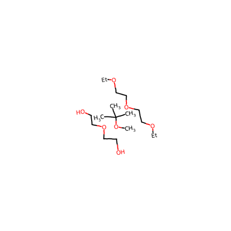 CCOCCOCCOCC.COC(C)(C)C.OCCOCCO